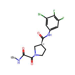 CC(C)(C)NC(=O)C(=O)N1CC[C@H](C(=O)Nc2cc(F)c(F)c(Br)c2)C1